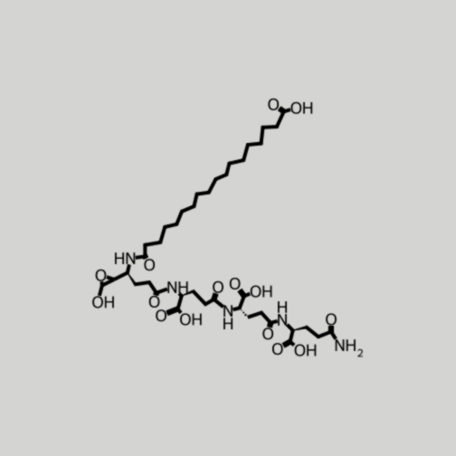 NC(=O)CC[C@H](NC(=O)CC[C@H](NC(=O)CC[C@H](NC(=O)CC[C@H](NC(=O)CCCCCCCCCCCCCCCCC(=O)O)C1OC1O)C(=O)O)C(=O)O)C(=O)O